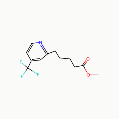 COC(=O)CCCCc1cc(C(F)(F)F)ccn1